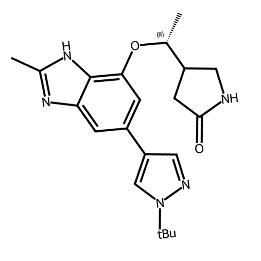 Cc1nc2cc(-c3cnn(C(C)(C)C)c3)cc(O[C@H](C)C3CNC(=O)C3)c2[nH]1